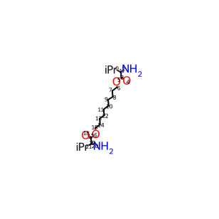 CC(C)C(N)C(=O)OCCCCCCCCCCOC(=O)C(N)C(C)C